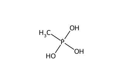 C[P](O)(O)O